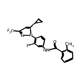 Cc1ccccc1C(=O)Nc1ccc(-n2nc(C(F)(F)F)cc2C2CC2)c(F)c1